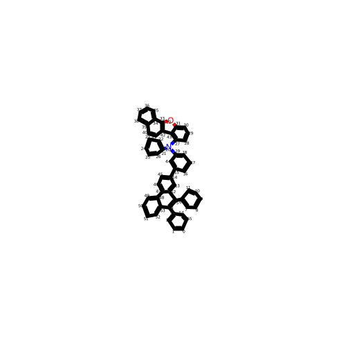 c1ccc(-c2c(-c3ccccc3)c3cc(-c4cccc(N(c5ccccc5)c5cccc6oc7c8ccccc8ccc7c56)c4)ccc3c3ccccc23)cc1